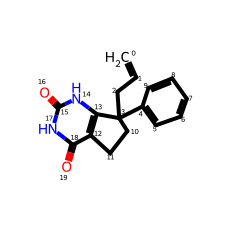 C=CCC1(c2ccccc2)CCc2c1[nH]c(=O)[nH]c2=O